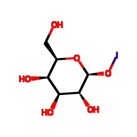 OC[C@H]1O[C@H](OI)[C@H](O)[C@@H](O)[C@H]1O